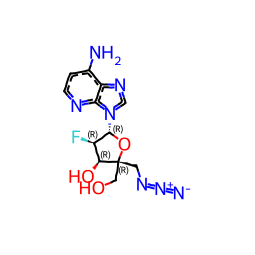 [N-]=[N+]=NC[C@]1(CO)O[C@@H](n2cnc3c(N)ccnc32)[C@H](F)[C@@H]1O